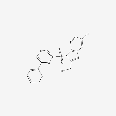 O=S(=O)(C1=COC=C(C2=CC=CCC2)O1)n1c(CBr)cc2cc(Cl)ccc21